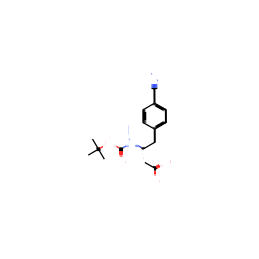 CC(C)(C)OC(=O)N[C@@H](CC(=O)O)Cc1ccc(C#N)cc1